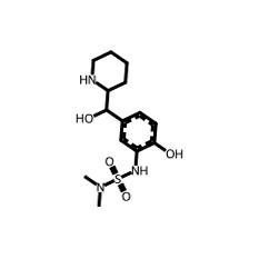 CN(C)S(=O)(=O)Nc1cc(C(O)C2CCCCN2)ccc1O